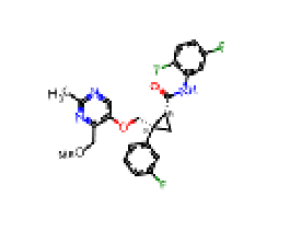 COCc1nc(C)ncc1OC[C@@]1(c2cccc(F)c2)C[C@H]1C(=O)Nc1cc(F)ccc1F